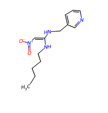 CCCCCNC(=C[N+](=O)[O-])NCc1cccnc1